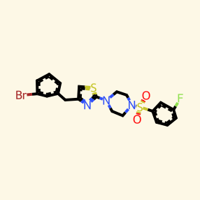 O=S(=O)(c1cccc(F)c1)N1CCN(c2nc(Cc3cccc(Br)c3)cs2)CC1